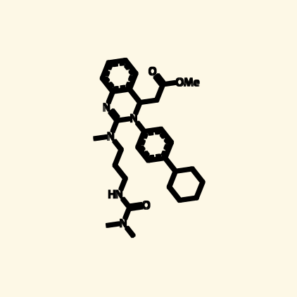 COC(=O)CC1c2ccccc2N=C(N(C)CCCNC(=O)N(C)C)N1c1ccc(C2CCCCC2)cc1